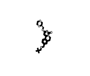 CC(C)(C)COCc1ccc2c(c1)CCn1c-2cc(OC[C@@H]2COCCO2)nc1=O